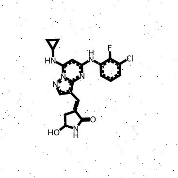 O=C1NC(O)C/C1=C\c1cnn2c(NC3CC3)cc(Nc3cccc(Cl)c3F)nc12